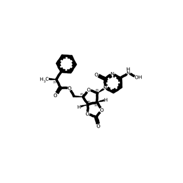 C[C@H](C(=O)OC[C@H]1O[C@@H](n2ccc(NO)nc2=O)[C@@H]2OC(=O)O[C@@H]21)c1ccccc1